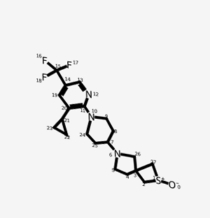 [O-][S+]1CC2(CCN(C3CCN(c4ncc(C(F)(F)F)cc4C4CC4)CC3)C2)C1